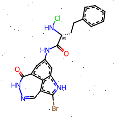 O=C1NN=Cc2c(Br)[nH]c3cc(NC(=O)[C@@H](CCc4ccccc4)NCl)cc1c23